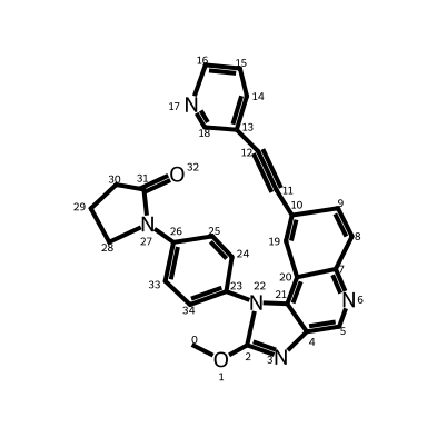 COc1nc2cnc3ccc(C#Cc4cccnc4)cc3c2n1-c1ccc(N2CCCC2=O)cc1